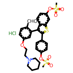 CS(=O)(=O)Oc1ccc(-c2sc3cc(OS(C)(=O)=O)ccc3c2-c2cc(OCCN3CCCCC3)ccc2C=O)cc1.Cl